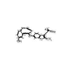 CNC(=O)c1c(C)sc2cc(Oc3ccnc4ccc(O)cc34)ccc12